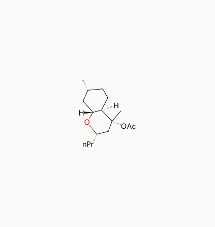 CCC[C@H]1C[C@@](C)(OC(C)=O)[C@@H]2CC[C@@H](C)C[C@H]2O1